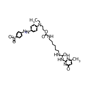 CCN(CCOC(=O)NCCCCCCNC(=O)Nc1nc(=O)cc(C)[nH]1)c1ccc(/N=N/c2ccc([N+](=O)[O-])cc2)cc1